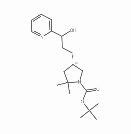 CC(C)(C)OC(=O)N1C[C@@H](CCC(O)c2ccccn2)CC1(C)C